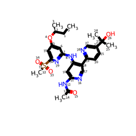 CC[C@@H](C)Oc1cc(Nc2cc(NC(C)=O)ncc2-c2ccc(C(C)(C)O)cn2)nc(S(C)(=O)=O)c1